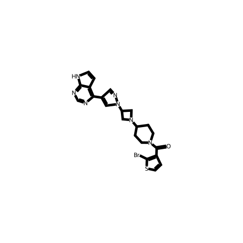 O=C(c1ccsc1Br)N1CCC(N2CC(n3cc(-c4ncnc5[nH]ccc45)cn3)C2)CC1